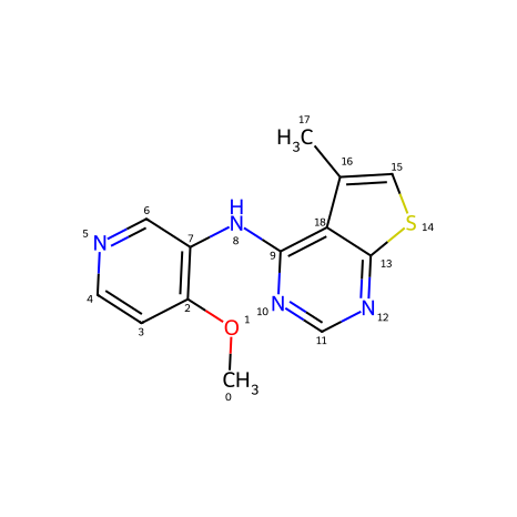 COc1ccncc1Nc1ncnc2scc(C)c12